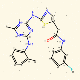 Cc1nc(Nc2ncc(CC(=O)Nc3cccc(F)c3)s2)nc(Nc2ccccc2C)n1